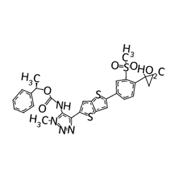 C[C@@H](OC(=O)Nc1c(-c2cc3sc(-c4ccc(C5(C(=O)O)CC5)c(S(C)(=O)=O)c4)cc3s2)nnn1C)c1ccccc1